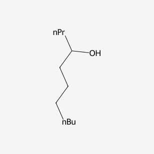 C[CH]CC(O)CCCCCCC